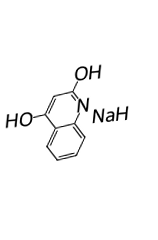 Oc1cc(O)c2ccccc2n1.[NaH]